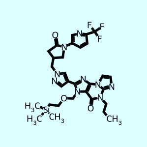 CCCn1c(=O)c2c(nc(-c3cnn(CC4CC(=O)N(c5ccc(C(F)(F)F)nc5)C4)c3)n2COCC[Si](C)(C)C)n2ccnc12